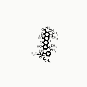 CCOP(=O)(OCC)C(Nc1cc(N(C)C)c2c(c1O)C(=O)C1=C(O)[C@]3(O)C(=O)C(C(N)=O)=C(O)[C@@H](N(C)C)[C@@H]3C[C@@H]1C2)c1ccccc1